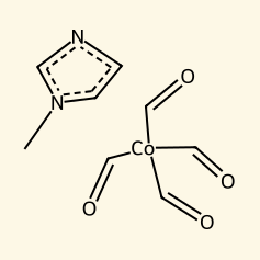 Cn1ccnc1.O=[CH][Co]([CH]=O)([CH]=O)[CH]=O